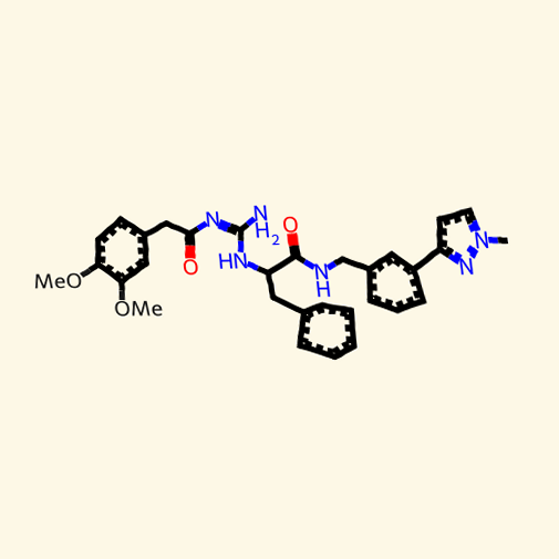 COc1ccc(CC(=O)N=C(N)NC(Cc2ccccc2)C(=O)NCc2cccc(-c3ccn(C)n3)c2)cc1OC